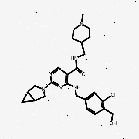 CN1CCC(CNC(=O)c2cnc(N3CC4CC4C3)nc2NCc2ccc(CO)c(Cl)c2)CC1